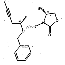 CC#CC[C@@H](C)OCc1ccccc1.CCCCCN1C(=O)OC[C@@H]1C(C)C